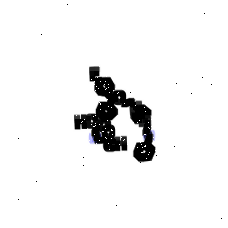 Fc1ccc(C(OCCN2CCN(C/C=C/c3ccccc3)CC2)c2ccccc2)cc1.O=C(O)/C=C\C(=O)O